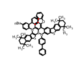 CCCCc1ccc(N2c3cc4c(oc5ccccc54)c4c3B(c3sc5cc6c(cc5c32)C(C)(C)CCC6(C)C)N(c2ccc(-c3ccccc3)cc2)c2cc3sc5cc6c(cc5c3cc2-4)C(C)(C)CCC6(C)C)c(-c2ccccc2)c1